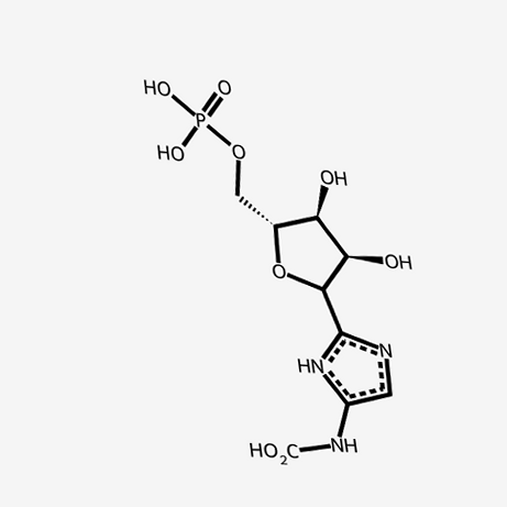 O=C(O)Nc1cnc(C2O[C@H](COP(=O)(O)O)[C@@H](O)[C@H]2O)[nH]1